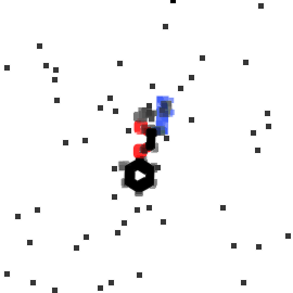 CC(C)OC(COc1ccccc1)N=[N+]=[N-]